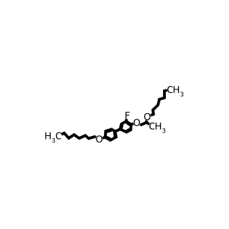 CCCCCCCCOc1ccc(-c2ccc(OCC(C)OCCCCCCC)c(F)c2)cc1